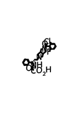 O=C(O)C(=O)N[C@@H](CCN1CC2CN(C(=O)c3c(F)cccc3Cl)CC2C1)c1ccccc1